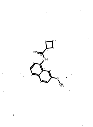 COc1ccc2cccc(NC(=O)C3CCC3)c2c1